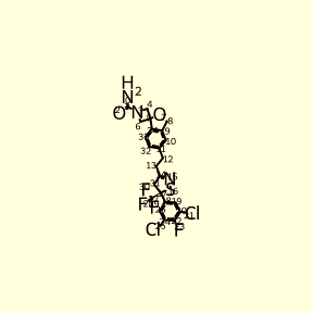 NC(=O)N1CC2(C1)OCc1cc(CCC3=NS[C@@](c4cc(Cl)c(F)c(Cl)c4)(C(F)(F)F)C3)ccc12